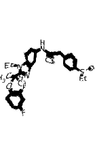 CCn1c(C(C)(C)Oc2ccc(F)cc2F)nc2cc(NC(=O)Cc3ccc([S+]([O-])CC)cc3)ccc21